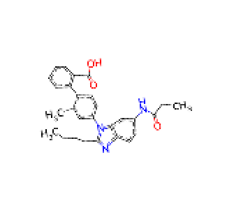 CCCCc1nc2ccc(NC(=O)CC)cc2n1-c1ccc(-c2ccccc2C(=O)O)c(C)c1